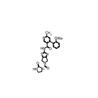 COc1ccccc1-c1cc(C)ncc1C(=O)Nc1nc2c(s1)CN(C(=O)[C@@H]1CCNC1=O)C2